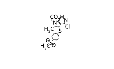 Cc1c(Sc2ccc(S(C)(=O)=O)cc2)c2c(Cl)nccc2n1CC(=O)O